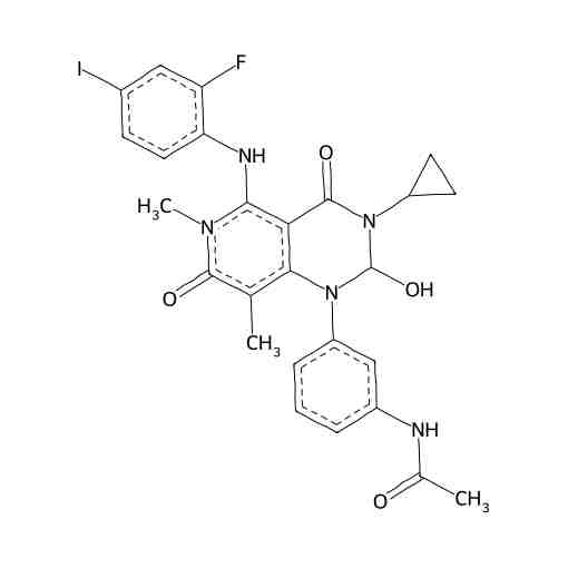 CC(=O)Nc1cccc(N2c3c(c(Nc4ccc(I)cc4F)n(C)c(=O)c3C)C(=O)N(C3CC3)C2O)c1